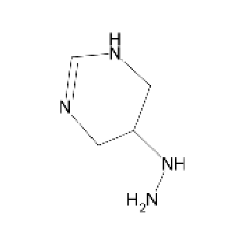 NNC1CN=CNC1